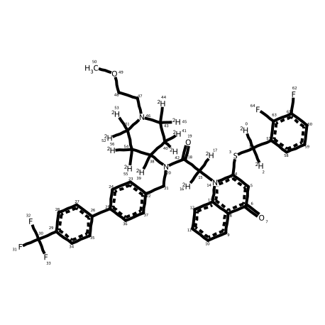 [2H]C([2H])(Sc1cc(=O)c2ccccc2n1C([2H])([2H])C(=O)N(Cc1ccc(-c2ccc(C(F)(F)F)cc2)cc1)C1([2H])C([2H])([2H])C([2H])([2H])N(CCOC)C([2H])([2H])C1([2H])[2H])c1cccc(F)c1F